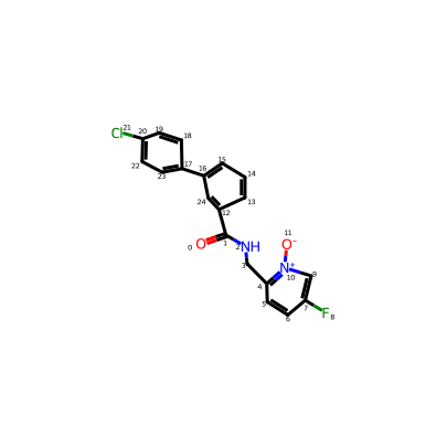 O=C(NCc1ccc(F)c[n+]1[O-])c1cccc(-c2ccc(Cl)cc2)c1